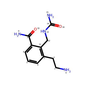 NCCc1cccc(C(N)=O)c1CNC(N)=O